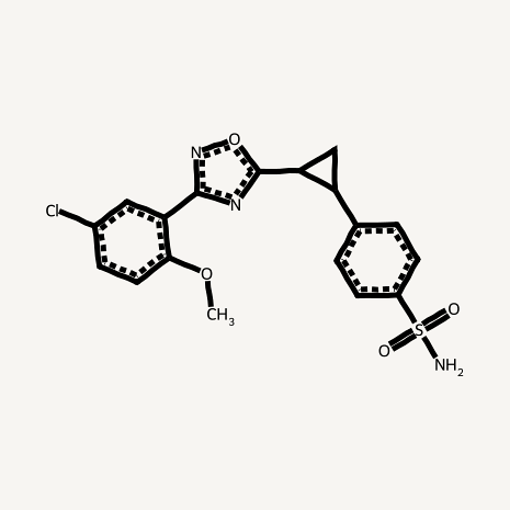 COc1ccc(Cl)cc1-c1noc(C2CC2c2ccc(S(N)(=O)=O)cc2)n1